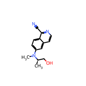 C[C@H](CO)N(C)c1ccc2c(C#N)nccc2c1